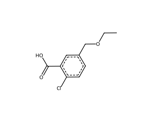 CCOCc1ccc(Cl)c(C(=O)O)c1